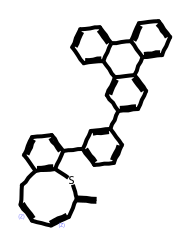 C=C1/C=C\C=C/Cc2cccc(-c3cccc(-c4ccc5c6ccccc6c6ccccc6c5c4)c3)c2S1